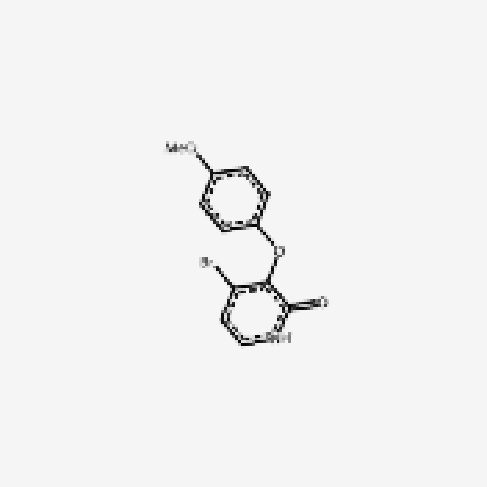 COc1ccc(Oc2c(Br)cc[nH]c2=O)cc1